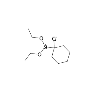 CCO[Si](OCC)C1(Cl)CCCCC1